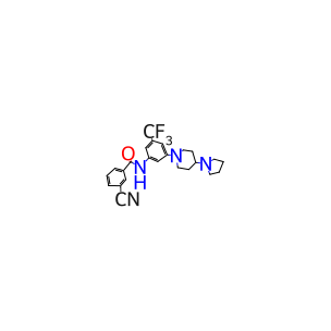 N#Cc1cccc(C(=O)Nc2cc(N3CCC(N4CCCC4)CC3)cc(C(F)(F)F)c2)c1